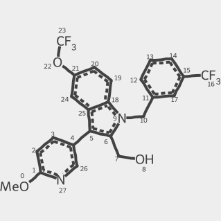 COc1ccc(-c2c(CO)n(Cc3cccc(C(F)(F)F)c3)c3ccc(OC(F)(F)F)cc23)cn1